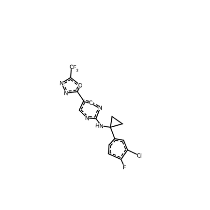 Fc1ccc(C2(Nc3ncc(-c4nnc(C(F)(F)F)o4)cn3)CC2)cc1Cl